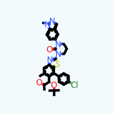 CC(=O)[C@@H](OC(C)(C)C)c1c(C)cc2nc(N3CCCN(c4ccc5c(cnn5C)c4)C3=O)sc2c1-c1ccc(Cl)cc1